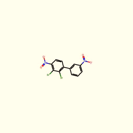 O=[N+]([O-])c1cccc(-c2ccc([N+](=O)[O-])c(Br)c2Br)c1